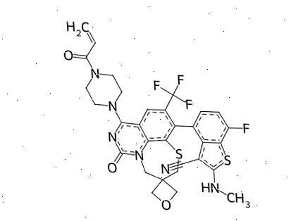 C=CC(=O)N1CCN(c2nc(=O)n3c4c(c(-c5ccc(F)c6sc(NC)c(C#N)c56)c(C(F)(F)F)cc24)SCC2(COC2)C3)CC1